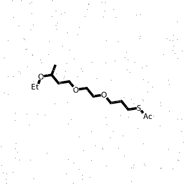 CCOC(C)CCOCCOCCCSC(C)=O